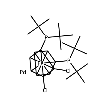 CC(C)(C)P(C(C)(C)C)[C]12[CH]3[CH]4[CH]5[CH]1[Fe]45321678[CH]2[CH]1[C]6(P(C(C)(C)C)C(C)(C)C)[C]7(Cl)[C]28Cl.[Pd]